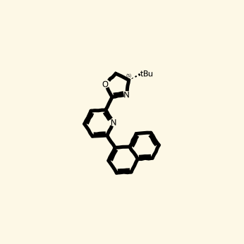 CC(C)(C)[C@H]1COC(c2cccc(-c3cccc4ccccc34)n2)=N1